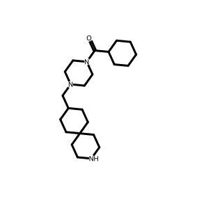 O=C(C1CCCCC1)N1CCN(CC2CCC3(CCNCC3)CC2)CC1